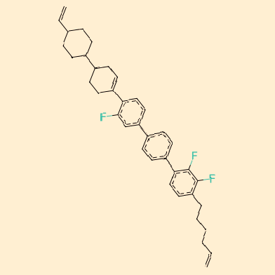 C=CCCCCc1ccc(-c2ccc(-c3ccc(C4=CCC(C5CCC(C=C)CC5)CC4)c(F)c3)cc2)c(F)c1F